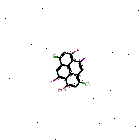 Clc1cc(Br)c2c(I)cc3c(Cl)cc(Br)c4c(I)cc1c2c34